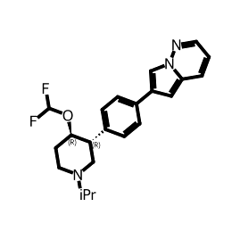 CC(C)N1CC[C@@H](OC(F)F)[C@H](c2ccc(-c3cc4cccnn4c3)cc2)C1